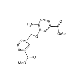 COC(=O)c1cccc(COc2cc(C(=O)OC)ccc2N)c1